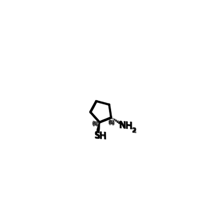 N[C@H]1CCC[C@@H]1S